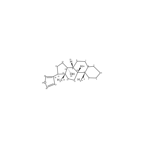 C[C@]12CCCCC1CC[C@@H]1[C@H]2CC[C@]2(C)C(c3ccoc3)CC[C@@]12O